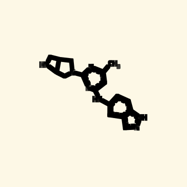 Cc1cc(Nc2ccc3[nH]ncc3c2)nc(N2CC3CNC3C2)n1